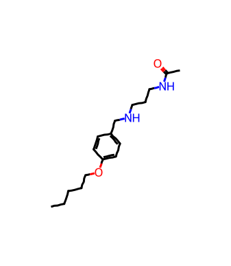 CCCCCOc1ccc(CNCCCNC(C)=O)cc1